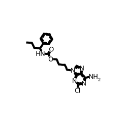 CCCC(NC(=O)OCCCCn1cnc2c(N)nc(Cl)nc21)c1ccccc1